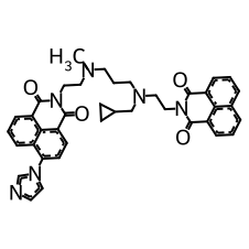 CN(CCCN(CCN1C(=O)c2cccc3cccc(c23)C1=O)CC1CC1)CCN1C(=O)c2cccc3c(-n4ccnc4)ccc(c23)C1=O